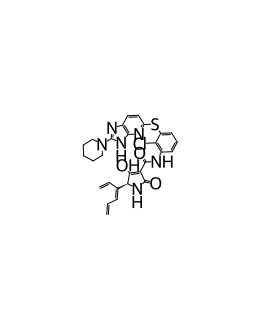 C=C/C=C(\C=C)[C@@H]1NC(=O)C(C(=O)Nc2cccc(Sc3ccc4nc(N5CCCCC5)[nH]c4n3)c2Cl)=C1O